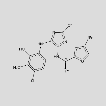 Cc1c(Cl)ccc(Nc2n[s+]([O-])nc2N[C@@H](c2cc(C(C)C)co2)C(C)C)c1O